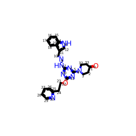 O=C1CCN(c2nc(N/N=C/c3c[nH]c4ccccc34)nc(OCCc3ccccn3)n2)CC1